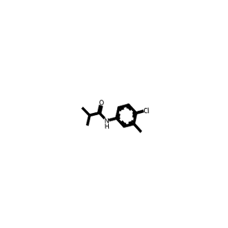 Cc1cc(NC(=O)C(C)C)ccc1Cl